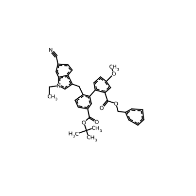 CCn1cc(Cc2ccc(C(=O)OC(C)(C)C)cc2-c2ccc(OC)cc2C(=O)OCc2ccccc2)c2ccc(C#N)cc21